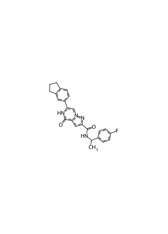 CC(NC(=O)c1cc2c(=O)[nH]c(-c3ccc4c(c3)CCC4)cn2n1)c1ccc(F)cc1